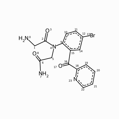 NCC(=O)N(CC(N)=O)c1ccc(Br)cc1C(=O)c1ccccn1